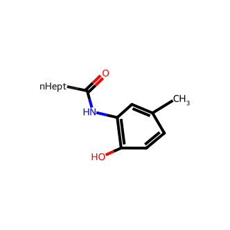 CCCCCCCC(=O)Nc1cc(C)ccc1O